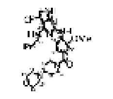 COc1cc(C(=O)N2CCC(N3CCOCC3)CC2)ccc1Nc1nc(NCC(C)C)c2c(Cl)c[nH]c2n1